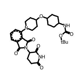 CC(C)(C)OC(=O)NC1CCC(OC2CCN(c3cccc4c3C(=O)N(C3CCC(=O)NC3=O)C4=O)CC2)CC1